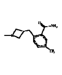 CN1CC(Cc2ccc(C(F)(F)F)cc2C(N)=O)C1